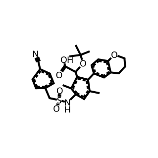 Cc1cc(NS(=O)(=O)Cc2ccc(C#N)cc2)c(C)c(C(OC(C)(C)C)C(=O)O)c1-c1ccc2c(c1)CCCO2